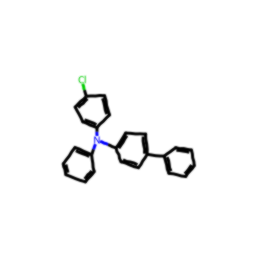 Clc1ccc(N(c2ccccc2)c2ccc(-c3ccccc3)cc2)cc1